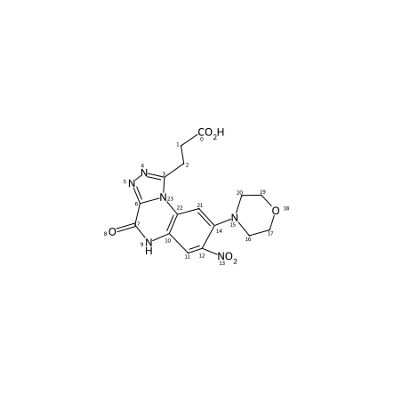 O=C(O)CCc1nnc2c(=O)[nH]c3cc([N+](=O)[O-])c(N4CCOCC4)cc3n12